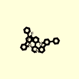 FC(F)(F)c1ccc(-n2c3ccccc3c3cc(-c4ccccc4)ccc32)c(-c2cnccc2-n2c3ccccc3c3cc(-c4ccccc4)ccc32)c1